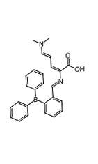 CN(C)C=CC=C(N=Cc1ccccc1B(c1ccccc1)c1ccccc1)C(=O)O